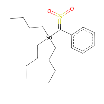 CCC[CH2][Sn]([CH2]CCC)([CH2]CCC)[C](c1ccccc1)=S(=O)=O